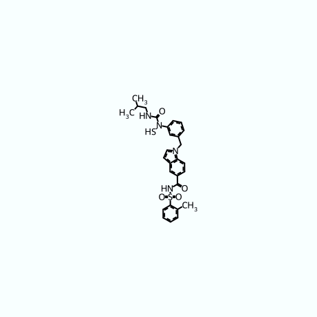 Cc1ccccc1S(=O)(=O)NC(=O)c1ccc2c(ccn2Cc2cccc(N(S)C(=O)NCC(C)C)c2)c1